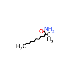 CCCCCCCCC=C(C)C(N)=O